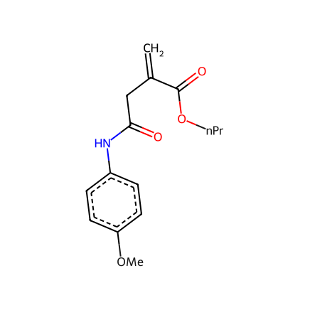 C=C(CC(=O)Nc1ccc(OC)cc1)C(=O)OCCC